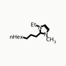 CCCCCCCCCC1N(C)C=CN1CC